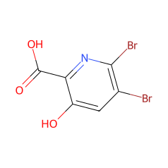 O=C(O)c1nc(Br)c(Br)cc1O